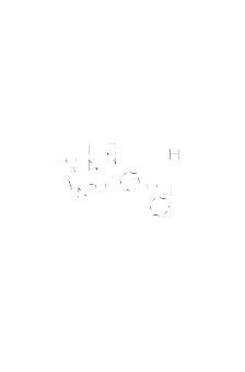 CN1C=CC(=O)C(NC(=O)NC(CC(=O)O)c2cccc(Oc3ccc(F)cc3F)c2)C1=O